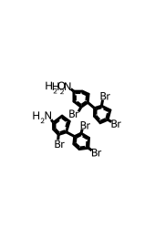 Nc1ccc(-c2ccc(Br)cc2Br)c(Br)c1.Nc1ccc(-c2ccc(Br)cc2Br)c(Br)c1.O